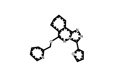 c1ccc(COc2nn3c(-c4ccco4)nnc3c3ccccc23)nc1